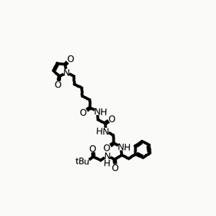 CC(C)(C)C(=O)CNC(=O)C(Cc1ccccc1)NC(=O)CNC(=O)CNC(=O)CCCCCN1C(=O)C=CC1=O